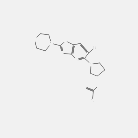 NC(=O)O[C@H]1CCN(c2nc3nc(N4CCOCC4)sc3cc2N)C1